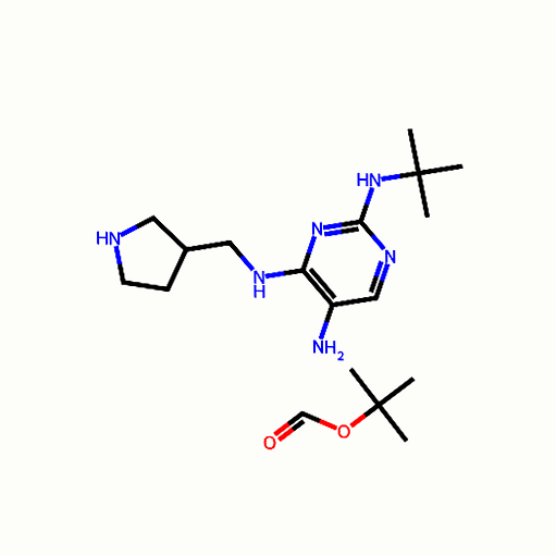 CC(C)(C)Nc1ncc(N)c(NCC2CCNC2)n1.CC(C)(C)OC=O